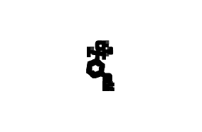 CCOc1cccc(C(F)(F)C(F)(F)F)c1